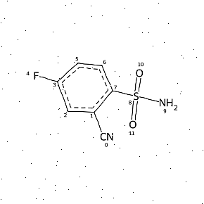 N#Cc1cc(F)ccc1S(N)(=O)=O